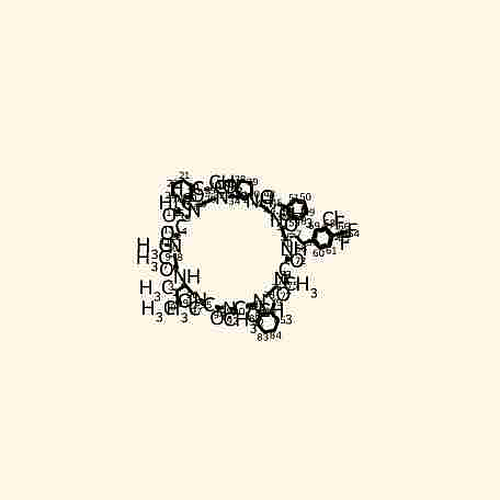 CC[C@H](C)[C@@H]1NC(=O)[C@H](C)N(C)C(=O)C[C@@H](C(=O)N2CCCCC2)N(C)C(=O)[C@H](C(C)C)N(C)C(=O)C2(CCCC2)NC(=O)[C@H](Cc2ccccc2)N(C)C(=O)[C@H](CCc2ccc(C(F)(F)F)c(Cl)c2)NC(=O)CN(C)C(=O)[C@H](CC2CCCCC2)N(C)C(=O)CN(C)C(=O)CN(C)C1=O